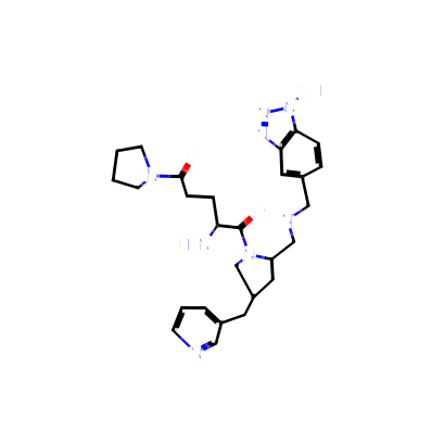 Cn1nnc2cc(CNCC3CC(Cc4cccnc4)CN3C(=O)C(N)CCC(=O)N3CCCC3)ccc21